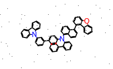 c1ccc(-c2ccccc2N(c2ccc(-c3cccc(-n4c5ccccc5c5ccccc54)c3)cc2)c2cccc3c(-c4cccc5oc6ccccc6c45)cccc23)cc1